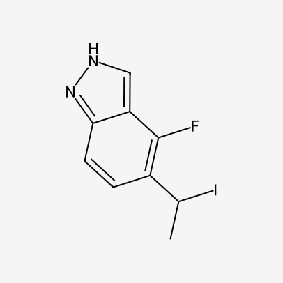 CC(I)c1ccc2n[nH]cc2c1F